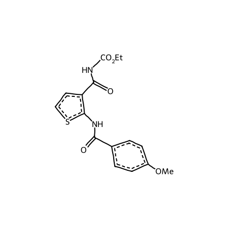 CCOC(=O)NC(=O)c1ccsc1NC(=O)c1ccc(OC)cc1